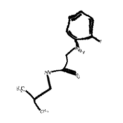 CC(C)CNC(=O)CNc1ccccc1F